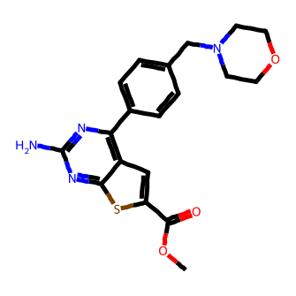 COC(=O)c1cc2c(-c3ccc(CN4CCOCC4)cc3)nc(N)nc2s1